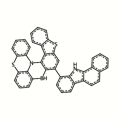 B1c2cccc3c2N(c2ccccc2S3)c2c1c(-c1cccc3c1[nH]c1c4ccccc4ccc31)cc1sc3ccccc3c21